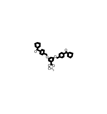 COC(=O)c1cc(OCc2ccc(C(=O)c3ccccc3)cc2)cc(OCc2ccc(C(=O)c3ccccc3)cc2)c1